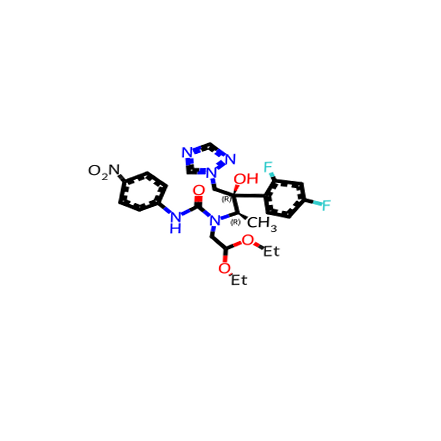 CCOC(CN(C(=O)Nc1ccc([N+](=O)[O-])cc1)[C@H](C)[C@](O)(Cn1cncn1)c1ccc(F)cc1F)OCC